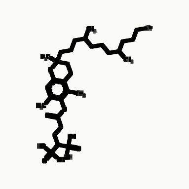 Cc1cc2c(c(C)c1OC(=O)CCC(P(=O)(O)O)P(=O)(O)O)CCC(C)(CCCC(C)CCCC(C)CCCC(C)C)O2